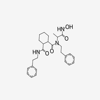 CC(C(=O)NO)N(CCc1ccccc1)C(=O)C1CCCCC1C(=O)NCCc1ccccc1